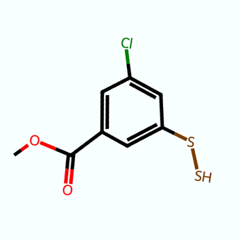 COC(=O)c1cc(Cl)cc(SS)c1